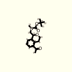 CC(=O)c1cccc2c1CCOC2CN(C)C(=O)OC(C)(C)C